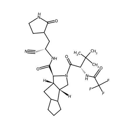 CC(C)(C)[C@H](NC(=O)C(F)(F)F)C(=O)N1C[C@@H]2C3CCCC3C[C@@H]2[C@H]1C(=O)N[C@H](C#N)CC1CCNC1=O